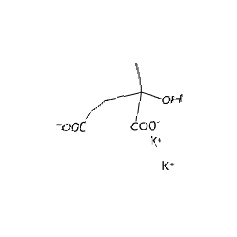 CC(O)(CC(=O)[O-])C(=O)[O-].[K+].[K+]